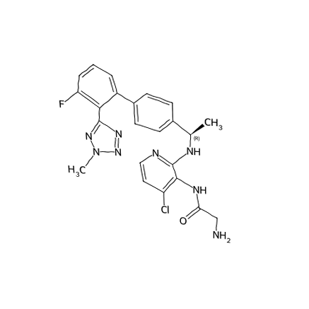 C[C@@H](Nc1nccc(Cl)c1NC(=O)CN)c1ccc(-c2cccc(F)c2-c2nnn(C)n2)cc1